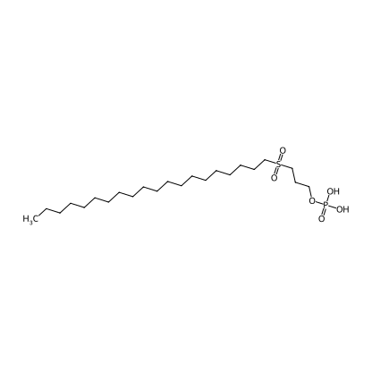 CCCCCCCCCCCCCCCCCCCCS(=O)(=O)CCCOP(=O)(O)O